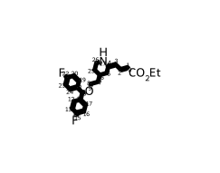 CCOC(=O)C=CC=C1CC(CCOC(c2ccc(F)cc2)c2ccc(F)cc2)CCN1